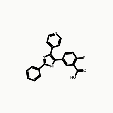 O=C(O)c1cc(-c2[nH]c(-c3ccccc3)nc2-c2ccncc2)ccc1F